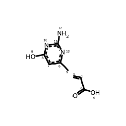 C=CC(=O)O.Cc1cc(O)nc(N)n1